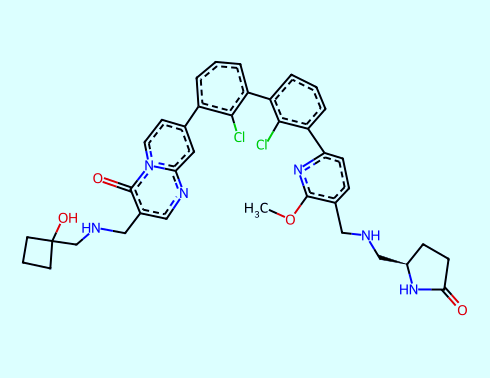 COc1nc(-c2cccc(-c3cccc(-c4ccn5c(=O)c(CNCC6(O)CCC6)cnc5c4)c3Cl)c2Cl)ccc1CNC[C@H]1CCC(=O)N1